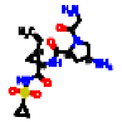 C=C[C@@H]1C[C@]1(NC(=O)[C@@H]1C[C@@H](N)CN1C(=O)CN)C(=O)NS(=O)(=O)C1CC1